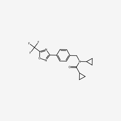 O=C(C1CC1)N(Cc1ccc(-c2noc(C(F)(F)F)n2)cc1)C1CC1